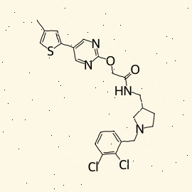 Cc1csc(-c2cnc(OCC(=O)NCC3CCN(Cc4cccc(Cl)c4Cl)C3)nc2)c1